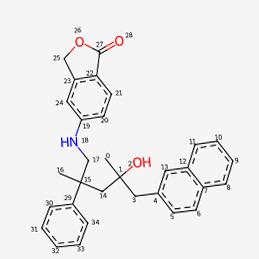 CC(O)(Cc1ccc2ccccc2c1)CC(C)(CNc1ccc2c(c1)COC2=O)c1ccccc1